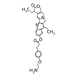 CCc1c2c(nc3ccc(OC(=O)CCc4ccc(OCCN)cc4)cc13)C1=CC3=C(COC(=O)C3CC)CN1C2